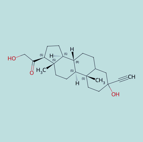 C#CC1(O)CC[C@@]2(C)C(CC[C@H]3[C@@H]4CC[C@H](C(=O)CO)[C@@]4(C)CC[C@@H]32)C1